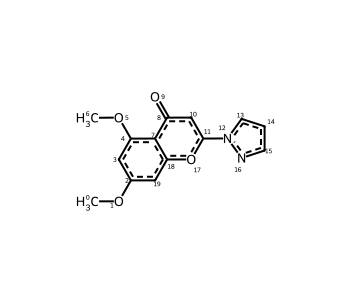 COc1cc(OC)c2c(=O)cc(-n3cccn3)oc2c1